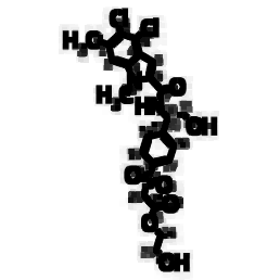 Cc1cc2c(cc(C(=O)N[C@H](CO)c3ccc(S(=O)(=O)CC(=O)OCCO)cc3)n2C)c(Cl)c1Cl